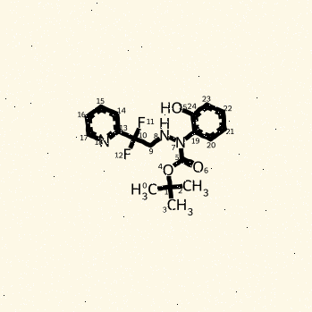 CC(C)(C)OC(=O)N(NCC(F)(F)c1ccccn1)c1ccccc1O